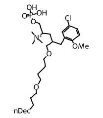 CCCCCCCCCCCCCOCCCCOCC(Cc1cc(Cl)ccc1OC)CC(COP(=O)(O)O)[N+](C)(C)C